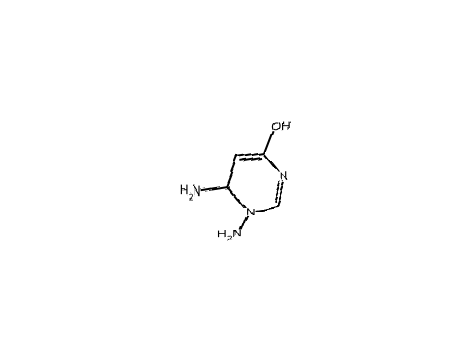 NC1C=C(O)N=CN1N